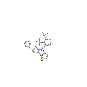 CC(C)(C)c1cccc(-n2c3ccsc3c3ccsc32)c1C(C)(C)C.c1ccsc1